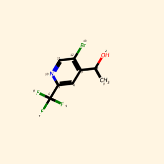 CC(O)c1cc(C(F)(F)F)ncc1Br